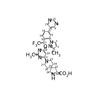 Cc1ccn(-c2cc(-c3cncnc3)ccc2C(Oc2cc(N3CCC4(CC3)CN[C@H](C(=O)O)C4)nc(C)n2)C(F)(F)F)n1